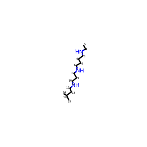 CCNCCCCNCCCNCCC(C)C